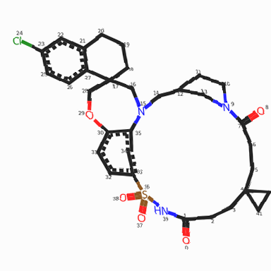 O=C1CCC2(CCC(=O)N3CCC(C3)CN3CC4(CCCc5cc(Cl)ccc54)COc4ccc(cc43)S(=O)(=O)N1)CC2